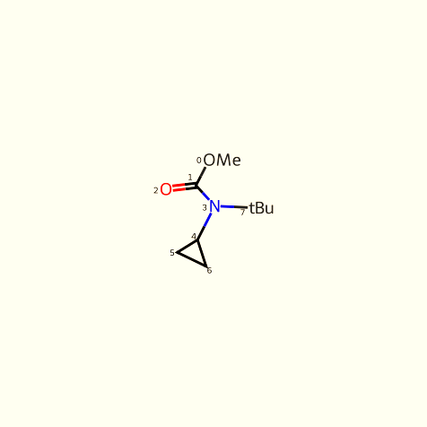 COC(=O)N(C1CC1)C(C)(C)C